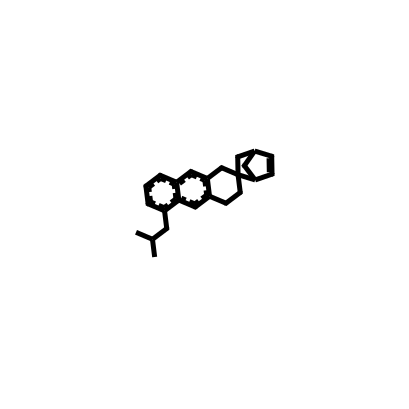 CC(C)Cc1cccc2cc3c(cc12)CCC1(C3)CC2C=CC1C2